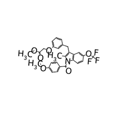 COC(=O)COc1cccc(Cc2c(C)n(C(=O)c3ccc(OC)cc3)c3ccc(OC(F)(F)F)cc23)c1